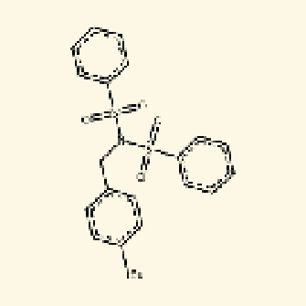 CC(C)(C)c1ccc(CN(S(=O)(=O)c2ccccc2)S(=O)(=O)c2ccccc2)cc1